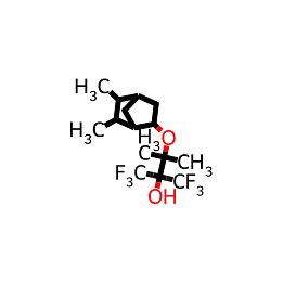 CC1C2CC(OC(C)(C)C(O)(C(F)(F)F)C(F)(F)F)C(C2)C1C